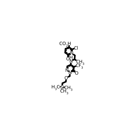 CC(Cn1c(Cl)c(C(=O)O)ccc1=O)Nc1cnn(COCC[Si](C)(C)C)c(=O)c1C(F)(F)F